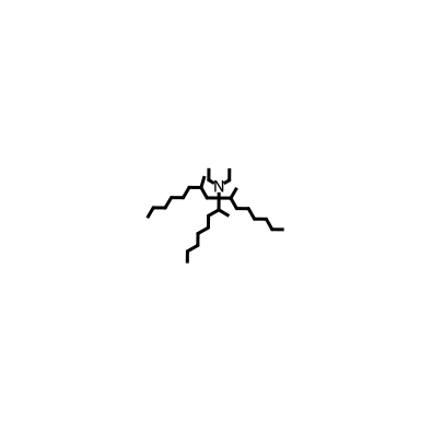 CCCCCCC(C)CC(C(C)CCCCCC)(C(C)CCCCCC)N(CC)CC